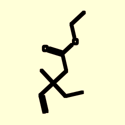 C=CC(C)(CC)CC(=O)OCC